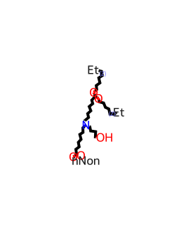 CC/C=C\CCCCOC(CCCCCCCN(CCCCO)CCCCCCCC(=O)OCCCCCCCCC)OCCCC/C=C\CC